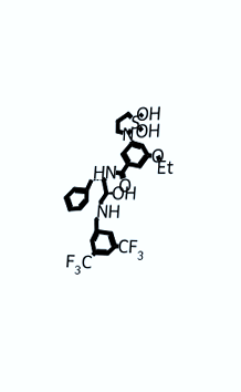 CCOc1cc(C(=O)N[C@@H](Cc2ccccc2)[C@@H](O)CNCc2cc(C(F)(F)F)cc(C(F)(F)F)c2)cc(N2CCCS2(O)O)c1